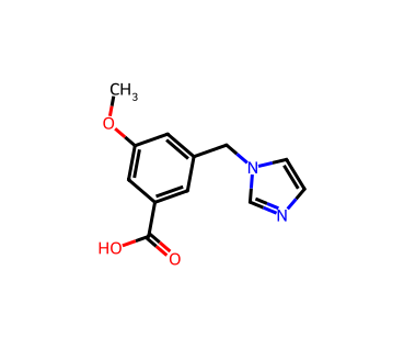 COc1cc(Cn2ccnc2)cc(C(=O)O)c1